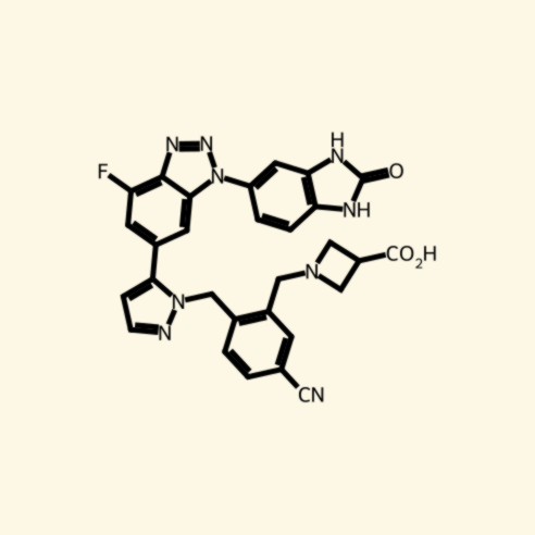 N#Cc1ccc(Cn2nccc2-c2cc(F)c3nnn(-c4ccc5[nH]c(=O)[nH]c5c4)c3c2)c(CN2CC(C(=O)O)C2)c1